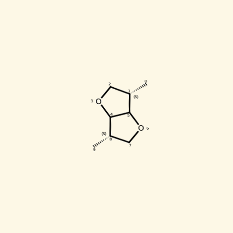 C[C@H]1COC2C1OC[C@@H]2C